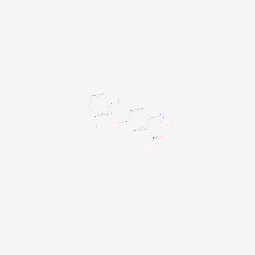 COC(=O)c1cc(Oc2ccccc2Cl)c(Br)cc1[N+](=O)[O-]